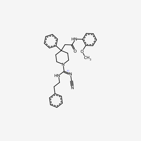 COc1ccccc1NC(=O)CC1(c2ccccc2)CCN(/C(=N/C#N)NCCc2ccccc2)CC1